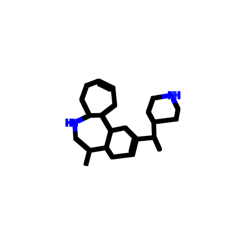 CC1CNC2CCC=CCC2C2CC(C(C)C3CCNCC3)=CCC12